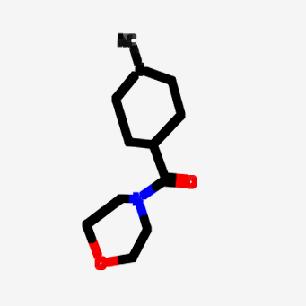 N#CB1CCC(C(=O)N2CCOCC2)CC1